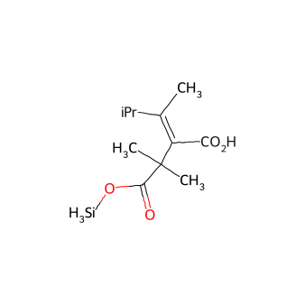 CC(=C(C(=O)O)C(C)(C)C(=O)O[SiH3])C(C)C